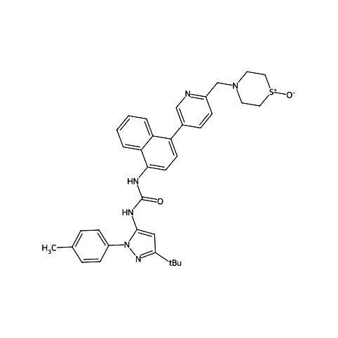 Cc1ccc(-n2nc(C(C)(C)C)cc2NC(=O)Nc2ccc(-c3ccc(CN4CC[S+]([O-])CC4)nc3)c3ccccc23)cc1